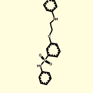 O=S(=O)(Nc1ccccc1)c1cccc(OCCNc2ccncc2)c1